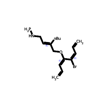 C=C/C=C(Br)\C(=C/C=C)OC/C(=C/CNP)CCCC